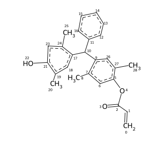 C=CC(=O)Oc1cc(C)c(C(c2ccccc2)c2cc(C)c(O)cc2C)cc1C